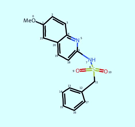 COc1ccc2nc(NS(=O)(=O)Cc3ccccc3)ccc2c1